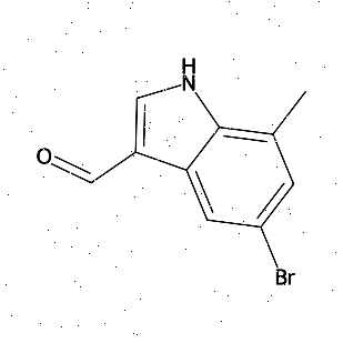 Cc1cc(Br)cc2c(C=O)c[nH]c12